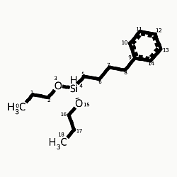 CCCO[SiH](CCCCc1ccccc1)OCCC